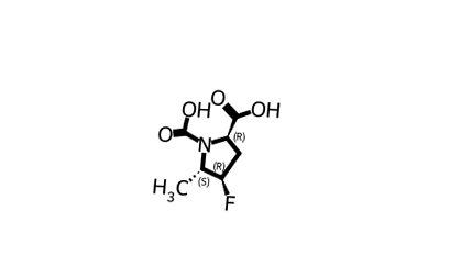 C[C@H]1[C@H](F)C[C@H](C(=O)O)N1C(=O)O